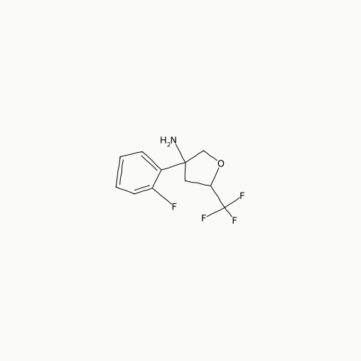 NC1(c2ccccc2F)COC(C(F)(F)F)C1